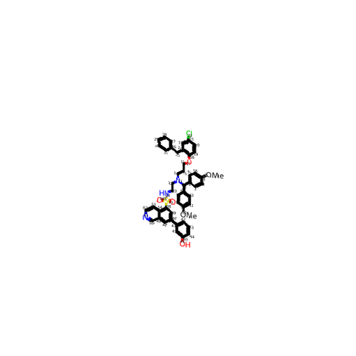 COc1ccc(C(c2ccc(OC)cc2)N(CCCOc2ccc(Cl)cc2Cc2ccccc2)CCNS(=O)(=O)c2cc(-c3cccc(O)c3)cc3cnccc23)cc1